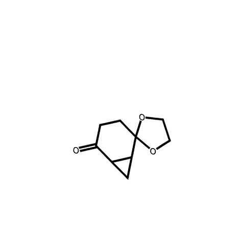 O=C1CCC2(OCCO2)C2CC12